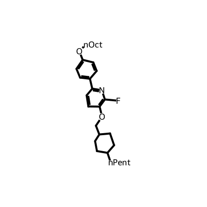 CCCCCCCCOc1ccc(-c2ccc(OCC3CCC(CCCCC)CC3)c(F)n2)cc1